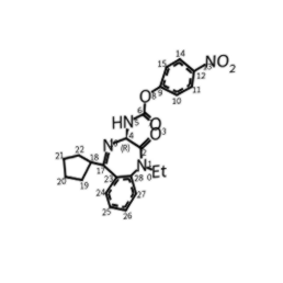 CCN1C(=O)[C@H](NC(=O)Oc2ccc([N+](=O)[O-])cc2)N=C(C2CCCC2)c2ccccc21